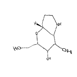 OCC1O[C@@H]2CCNC2C(O)C1O